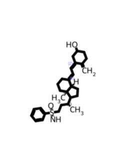 C=C1CCC(O)C/C1=C/C=C1\CCC[C@]2(C)C([C@@H](C)CCS(=N)(=O)c3ccccc3)CC[C@@H]12